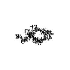 CCn1c(-c2cccnc2[C@H](C)OC)c2c3cc(ccc31)-c1cc(O)cc(c1)C[C@H](NC(=O)[C@H](C(C)C)N(C)C(=O)[C@H]1CCN(C(=O)C#CCN(C)C)C1)C(=O)N1CCC[C@H](N1)C(=O)OCC(C)(C)C2